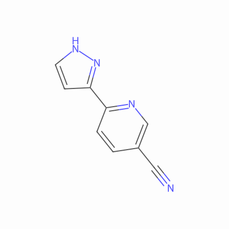 N#Cc1ccc(-c2cc[nH]n2)nc1